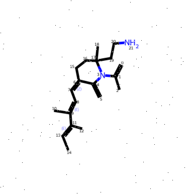 C=C(C)N1C(=C)\C(=C/C=C(C)/C(C)=C/C)CCC1(C)CCN